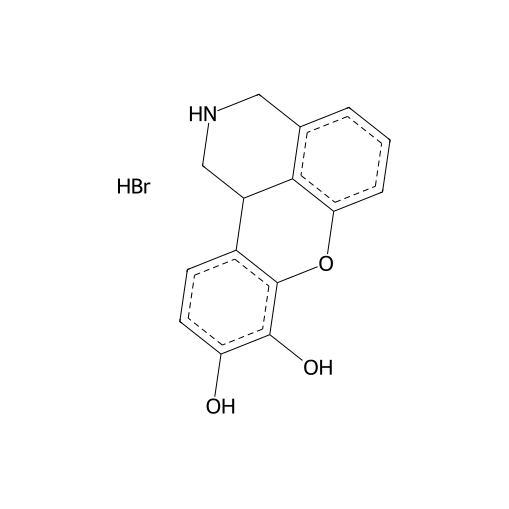 Br.Oc1ccc2c(c1O)Oc1cccc3c1C2CNC3